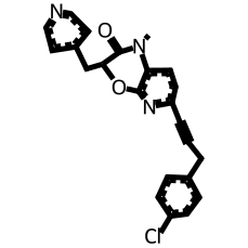 CN1C(=O)C(Cc2ccncc2)Oc2nc(C#CCc3ccc(Cl)cc3)ccc21